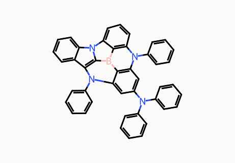 c1ccc(N(c2ccccc2)c2cc3c4c(c2)N(c2ccccc2)c2c5n(c6ccccc26)-c2cccc(c2B45)N3c2ccccc2)cc1